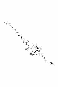 CCCCCCCCCCCCOC(=O)CCN(O)C1CC(C)(C)N(OCCCCCCCC)C(C)(C)C1